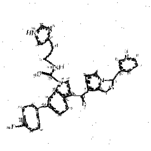 O=C(c1ccn2c1CSC2c1cccnc1)c1cn(C(=O)NCCc2c[nH]cn2)c2cc(-c3ccc(F)cc3)ccc12